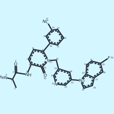 CNC(C)C(=O)Nc1ccc(-c2cccc(C#N)c2)n(Cc2cncc(-n3ccc4cc(F)ccc43)c2)c1=O